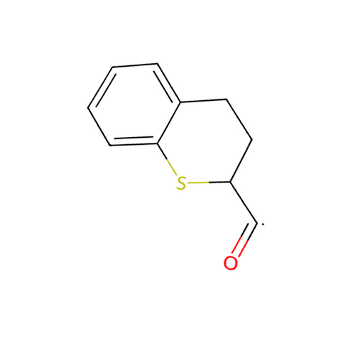 O=[C]C1CCc2ccccc2S1